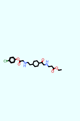 CCOC(=O)CCNCC(=O)C1CCC(CCNCC(=O)Oc2ccc(Cl)cc2)CC1